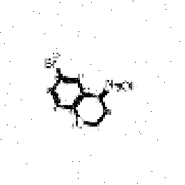 ON=C1CCOc2ccc(Br)cc21